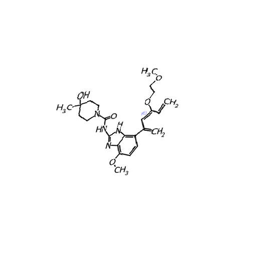 C=C/C(=C\C(=C)c1ccc(OC)c2nc(NC(=O)N3CCC(C)(O)CC3)[nH]c12)OCCOC